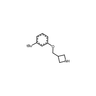 CC(C)(C)c1cccc(OCC2CNC2)c1